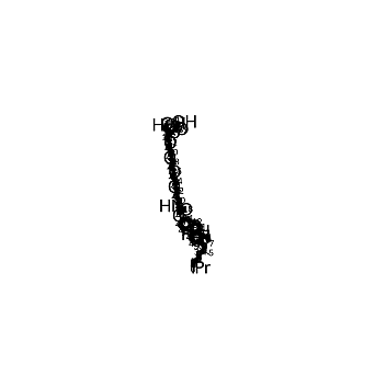 CC(C)CCC[C@@H](C)[C@H]1CC[C@H]2[C@@H]3CC=C4C[C@@H](OC(=O)NCCCOCCOCCOCCOCC(CO)OP(=O)(O)O)CC[C@]4(C)[C@H]3CC[C@]12C